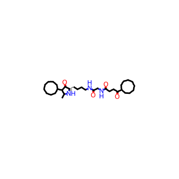 CC1N[C@@H](CCCCNC(=O)CNC(=O)CCC(=O)C2CCCCCCCC2)C(=O)C1C1CCCCCCCC1